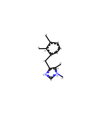 Cc1cccc(Cc2ncn(C)c2C)c1C